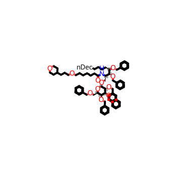 CCCCCCCCCCCCCC[C@@H](OCc1ccccc1)[C@@H](OCc1ccccc1)[C@H](CO[C@H]1O[C@H](COCc2ccccc2)[C@H](OCc2ccccc2)[C@H](OCc2ccccc2)[C@H]1OCc1ccccc1)NC(=O)CCCCCCOCCCC1CCOCC1